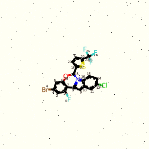 Fc1cc(Br)cc2c1-c1cc3cc(Cl)ccc3n1C(c1ccc(C(F)(F)F)s1)O2